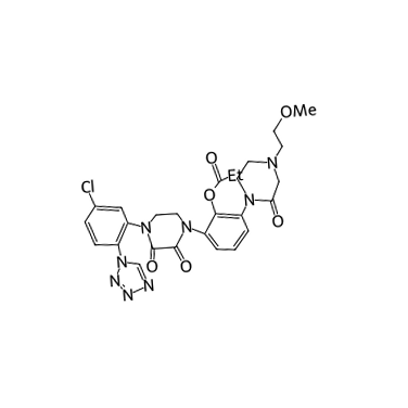 CCC(=O)Oc1c(N2CCN(CCOC)CC2=O)cccc1N1CCN(c2cc(Cl)ccc2-n2cnnn2)C(=O)C1=O